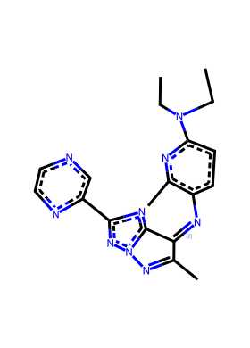 CCN(CC)c1ccc(/N=C2/C(C)=Nn3nc(-c4cnccn4)nc32)c(C)n1